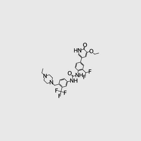 CCOc1cc(-c2ccc(NC(=O)Nc3ccc(CN4CCN(CC)CC4)c(C(F)(F)F)c3)c(C(F)F)c2)c[nH]c1=O